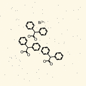 O=C([O-])C(c1ccccc1)c1ccccc1.O=C([O-])C(c1ccccc1)c1ccccc1.O=C([O-])C(c1ccccc1)c1ccccc1.[Bi+3]